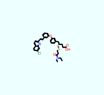 CCN(CC)C(=O)CCSSC(CCC(=O)O)Cc1cccc(Oc2cccc(C=Cc3ccc4ccc(Cl)cc4n3)c2)c1